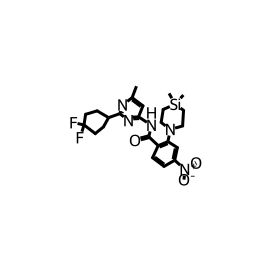 Cc1cc(NC(=O)c2ccc([N+](=O)[O-])cc2N2CC[Si](C)(C)CC2)nc(C2CCC(F)(F)CC2)n1